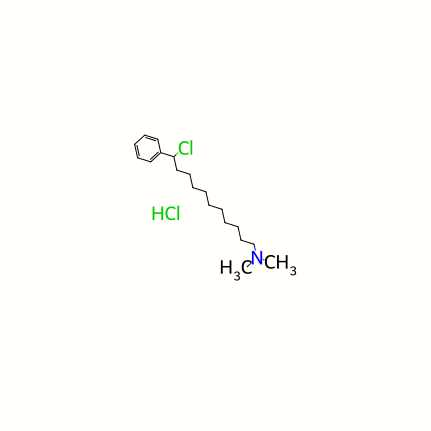 CN(C)CCCCCCCCCCC(Cl)c1ccccc1.Cl